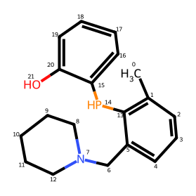 Cc1cccc(CN2CCCCC2)c1Pc1ccccc1O